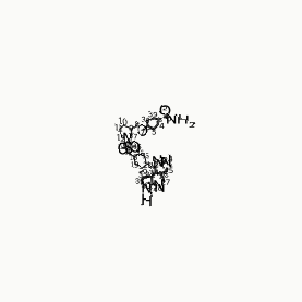 NC(=O)c1ccc(OCC2CCCN(S(=O)(=O)CC3CCC(c4nncc5cnc6[nH]ccc6c45)CC3)C2)cc1